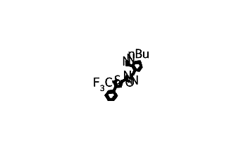 CCCCn1ncc2c(-c3noc(-c4cc(-c5ccccc5)c(C(F)(F)F)s4)n3)cccc21